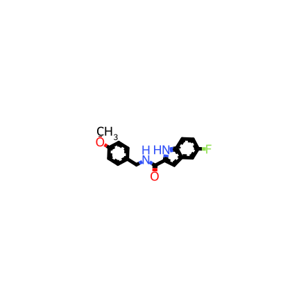 COc1ccc(CNC(=O)c2cc3cc(F)ccc3[nH]2)cc1